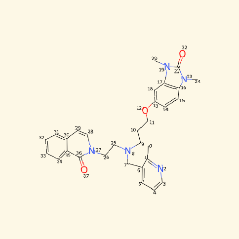 Cc1ncccc1CN(CCCOc1ccc2c(c1)n(C)c(=O)n2C)CCn1ccc2ccccc2c1=O